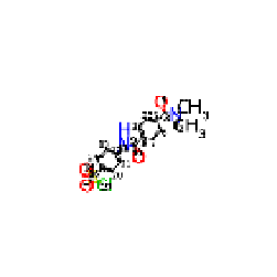 CN(C)C(=O)c1ccc(C(=O)Nc2ccc(S(=O)(=O)Cl)cc2)cc1